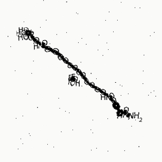 C[C@@H]1O[C@@H](OCCOCCNC(=O)CCOCCOCCOCCOCCOCCOCCOCCOCCOCCOCCOCCOCCNC(=O)COc2ccc(-c3cccc(C(=O)NCCN)c3)cc2)[C@H](O)[C@H](O)[C@H]1O.O=C(O)C(F)(F)F